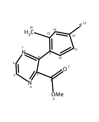 COC(=O)c1nccnc1-c1ccc(F)cc1C